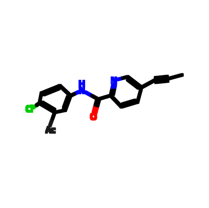 CC#Cc1ccc(C(=O)Nc2ccc(Cl)c(C(C)=O)c2)nc1